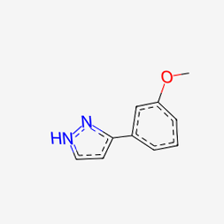 COc1cccc(-c2cc[nH]n2)c1